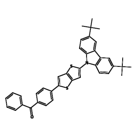 CC(C)(C)c1ccc2c(c1)c1cc(C(C)(C)C)ccc1n2-c1cc2sc(-c3ccc(C(=O)c4ccccc4)cc3)cc2s1